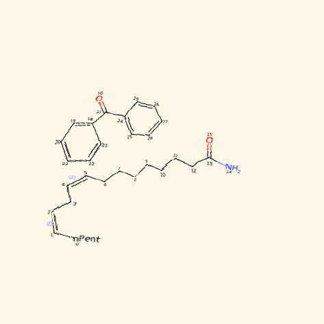 CCCCC/C=C\C/C=C\CCCCCCCC(N)=O.O=C(c1ccccc1)c1ccccc1